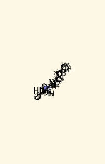 COCCNS(=O)(=O)/C(C#N)=C/c1ccc(-c2ccc3cc(N4CCCCC4)ccc3c2)n1C